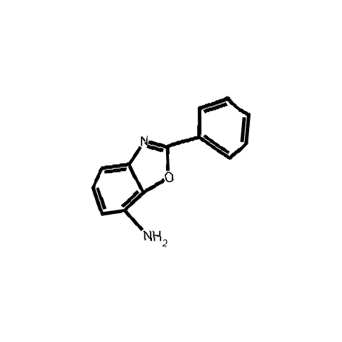 Nc1cccc2nc(-c3ccccc3)oc12